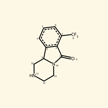 O=C1c2c(cccc2C(F)(F)F)C2CNCCN12